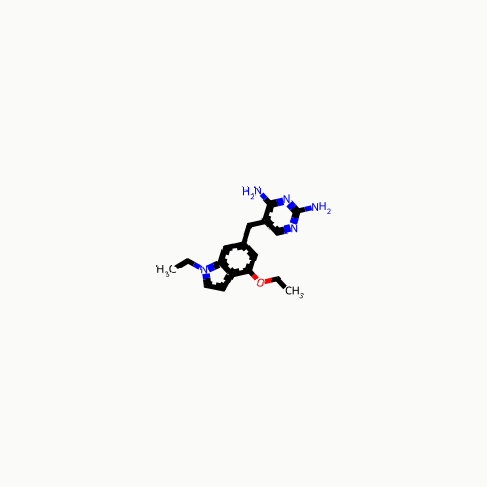 CCOc1cc(Cc2cnc(N)nc2N)cc2c1ccn2CC